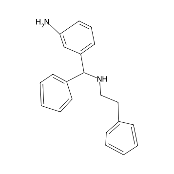 Nc1cccc(C(NCCc2ccccc2)c2ccccc2)c1